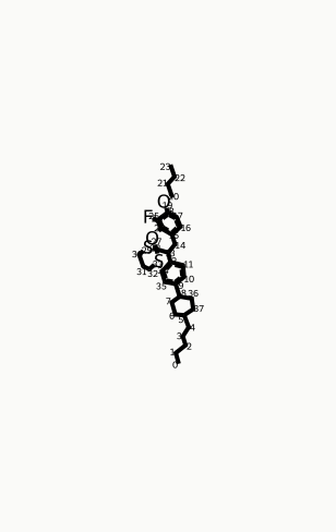 CCCCCC1CCC(c2ccc(C3Cc4ccc(OCCCC)c(F)c4OC34SCCCS4)cc2)CC1